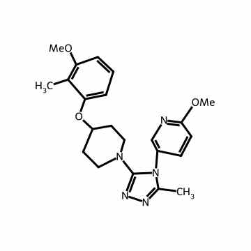 COc1ccc(-n2c(C)nnc2N2CCC(Oc3cccc(OC)c3C)CC2)cn1